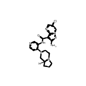 Nc1nn2cc(Cl)cnc2c1C(=O)Nc1cnccc1N1CCN2CCC[C@@H]2C1